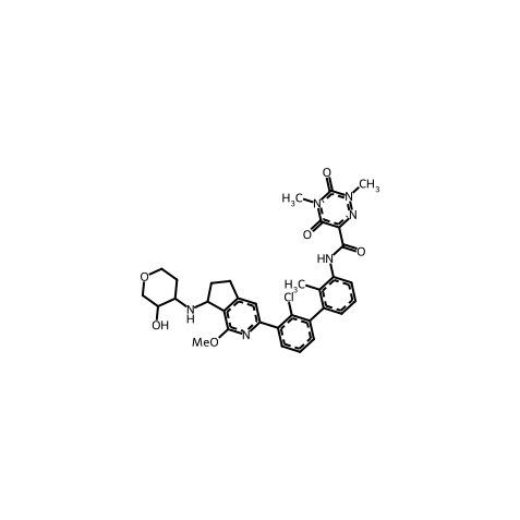 COc1nc(-c2cccc(-c3cccc(NC(=O)c4nn(C)c(=O)n(C)c4=O)c3C)c2Cl)cc2c1C(NC1CCOCC1O)CC2